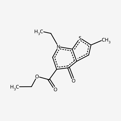 CCOC(=O)c1cn(CC)c2sc(C)cc2c1=O